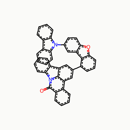 O=c1c2ccccc2c2cc(-c3cccc4oc5ccc(-n6c7ccccc7c7ccccc76)cc5c34)cc3c4ccccc4n1c23